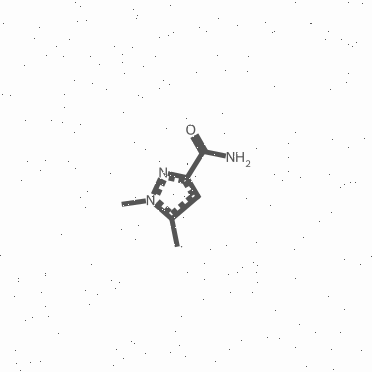 [CH2]c1cc(C(N)=O)nn1C